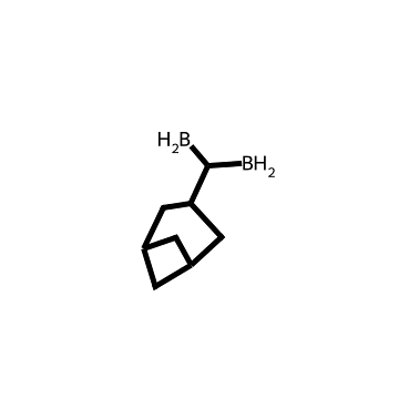 BC(B)C1CC2CC(C2)C1